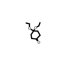 CCOC1(OCC)CCC(=O)CC1